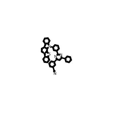 N#Cc1cccc(-c2cc(-c3ccccc3)nc(-c3cccc(-n4c5ccccc5c5ccc6c7ccccc7sc6c54)c3)n2)c1